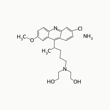 COc1ccc2nc3cc(Cl)ccc3c(C(C)CCCN(CCO)CCO)c2c1.N